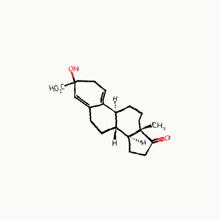 C[C@]12CC[C@@H]3C4=CCC(O)(C(=O)O)C=C4CC[C@H]3[C@@H]1CCC2=O